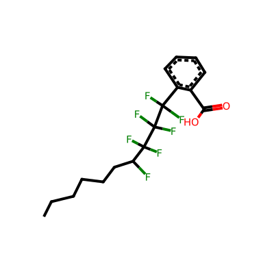 CCCCCCC(F)C(F)(F)C(F)(F)C(F)(F)c1ccccc1C(=O)O